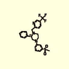 CS(=O)(=O)c1cccc(N2CCN(Cc3ccc(C(F)(F)F)cn3)[C@H](c3ccccc3)C2)c1